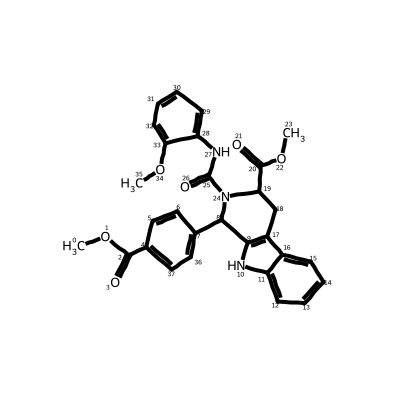 COC(=O)c1ccc(C2c3[nH]c4ccccc4c3CC(C(=O)OC)N2C(=O)Nc2ccccc2OC)cc1